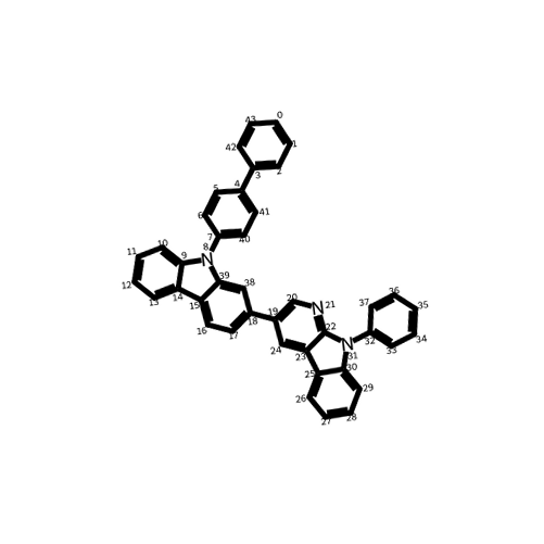 c1ccc(-c2ccc(-n3c4ccccc4c4ccc(-c5cnc6c(c5)c5ccccc5n6-c5ccccc5)cc43)cc2)cc1